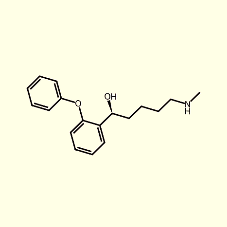 CNCCCC[C@H](O)c1ccccc1Oc1ccccc1